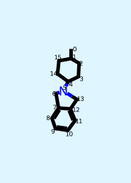 CC1CCC(N2Cc3ccccc3C2)CC1